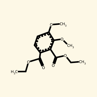 CCOC(=O)c1ccc(OC)c(OC)c1C(=O)OCC